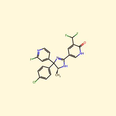 C[C@@H]1NC(c2c[nH]c(=O)c(C(F)F)c2)=NC1(c1ccc(Cl)cc1)c1ccnc(F)c1